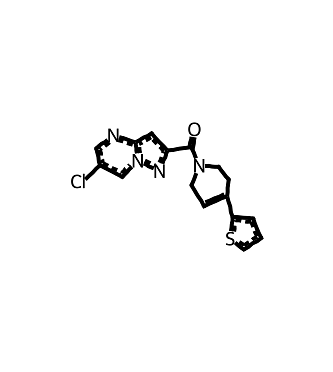 O=C(c1cc2ncc(Cl)cn2n1)N1CC=C(c2cccs2)CC1